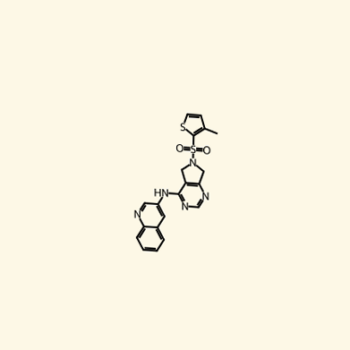 Cc1ccsc1S(=O)(=O)N1Cc2ncnc(Nc3cnc4ccccc4c3)c2C1